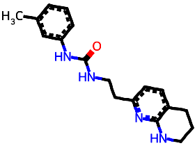 Cc1cccc(NC(=O)NCCc2ccc3c(n2)NCCC3)c1